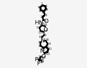 O=C(/C=C/c1ccccc1)N[C@H]1CC[C@H](CCN2CCc3ccc(OCC(F)(F)F)nc3CC2)OC1